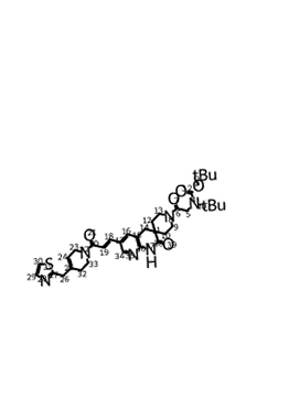 CC(C)(C)OC(=O)N(CC(=O)N1CCC2(CC1)Cc1cc(/C=C/C(=O)N3CC=C(Cc4nccs4)CC3)cnc1NC2=O)C(C)(C)C